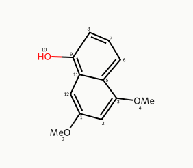 COc1cc(OC)c2cccc(O)c2c1